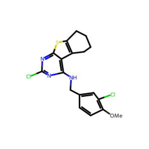 COc1ccc(CNc2nc(Cl)nc3sc4c(c23)CCCC4)cc1Cl